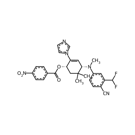 CN(c1ccc(C#N)c(C(F)F)c1)[C@H]1C=C(n2ccnc2)[C@@H](OC(=O)c2ccc([N+](=O)[O-])cc2)CC1(C)C